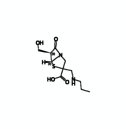 CCCNCC1(C(=O)O)CN2C(=O)[C@H](CO)[C@H]2S1